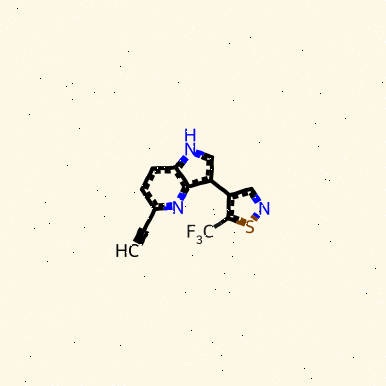 C#Cc1ccc2[nH]cc(-c3cnsc3C(F)(F)F)c2n1